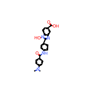 CN(C)c1ccc(C(=O)Nc2ccc(-c3nc4cc(C(=O)O)ccc4n3O)cc2)cc1